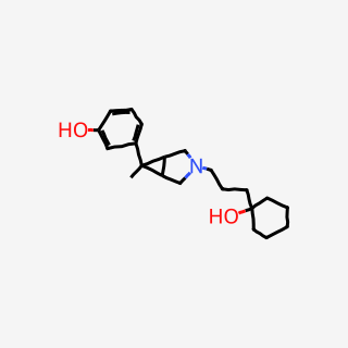 CC1(c2cccc(O)c2)C2CN(CCCC3(O)CCCCC3)CC21